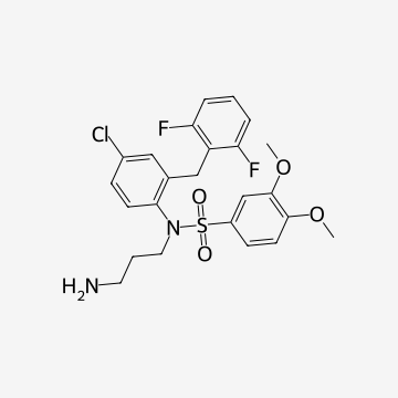 COc1ccc(S(=O)(=O)N(CCCN)c2ccc(Cl)cc2Cc2c(F)cccc2F)cc1OC